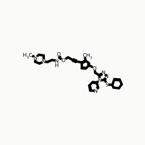 Cc1cc(OCc2nnc(SC3C=CCCC3)n2-c2cccnc2)ccc1C#CCOC(=O)NCCN1CCN(C)CC1